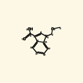 COCn1cc(C(=O)O)c2ccccc21